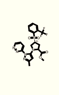 COC(=O)C1C[C@@H](S(=O)(=O)c2ccccc2C(F)(F)F)CN1c1cc(C)nn1-c1cccnn1